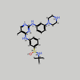 Cc1cnc(Nc2cccc(N3CCNCC3)c2)nc1Nc1cccc([S+]([O-])NC(C)(C)C)c1